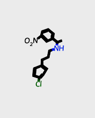 CC(NCCCc1ccc(Cl)cc1)c1cccc([N+](=O)[O-])c1